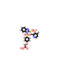 COc1c(C)ccnc1C[S+]([O-])c1nc2ccccc2n1S(=O)(=O)c1ccc(OCC(=O)O)cc1